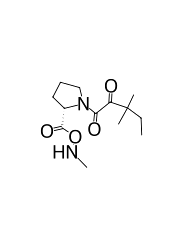 CCC(C)(C)C(=O)C(=O)N1CCC[C@H]1C(=O)ONC